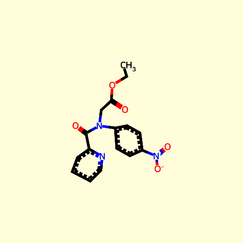 CCOC(=O)CN(C(=O)c1ccccn1)c1ccc([N+](=O)[O-])cc1